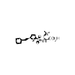 C[N+](C)(C)C[C@@H](CC(=O)O)NS(=O)(=O)c1ccc(C#Cc2ccccc2)s1